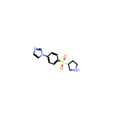 O=S(=O)(c1ccc(-n2ccnc2)cc1)[C@@H]1CCNC1